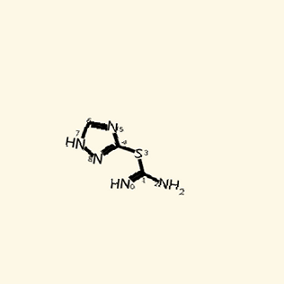 N=C(N)Sc1nc[nH]n1